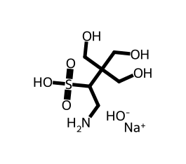 NCC(C(CO)(CO)CO)S(=O)(=O)O.[Na+].[OH-]